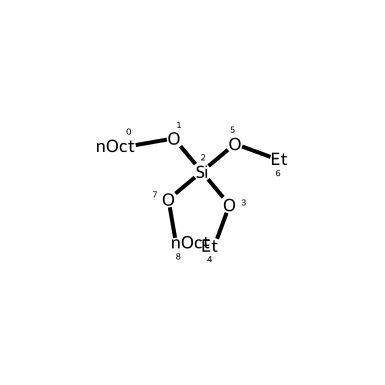 CCCCCCCCO[Si](OCC)(OCC)OCCCCCCCC